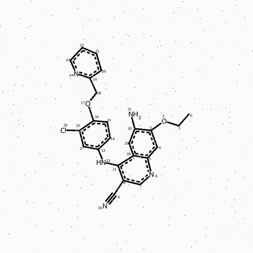 CCOc1cc2ncc(C#N)c(Nc3ccc(OCc4ccccn4)c(Cl)c3)c2cc1N